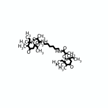 CCC1(C)CC(=O)C(C)C(C)(CC)N1OC(C)C(=O)NCCCCCCNC(=O)C(C)ON1C(C)(CC)C(C)C(=O)C[C@@]1(C)CC